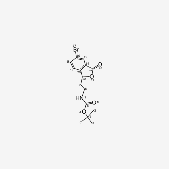 CC(C)(C)OC(=O)NCCC1OC(=O)c2cc(Br)ccc21